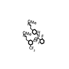 CON=CCc1cc(C(F)(F)F)cc(C(F)(F)F)c1.CON=CCc1ccc(NC(=O)c2ccccc2F)cc1